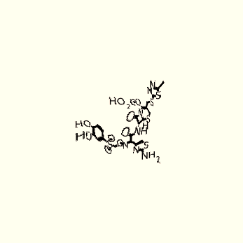 Cc1nnc(SCC2=C(OC(=O)O)N3C(=O)[C@@H](NC(=O)/C(=N\OCS(=O)(=O)c4ccc(O)c(O)c4)c4csc(N)n4)[C@H]3SC2)s1